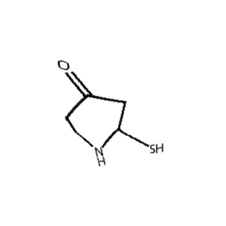 O=C1CNC(S)C1